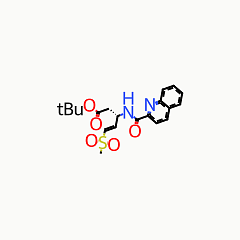 CC(C)(C)OC(=O)C[C@@H](/C=C/S(C)(=O)=O)NC(=O)c1ccc2ccccc2n1